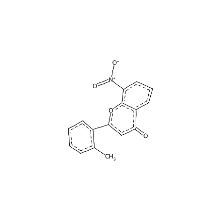 Cc1ccccc1-c1cc(=O)c2cccc([N+](=O)[O-])c2o1